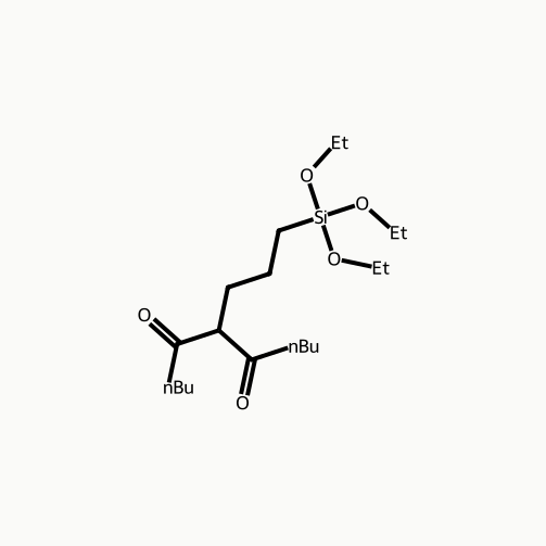 CCCCC(=O)C(CCC[Si](OCC)(OCC)OCC)C(=O)CCCC